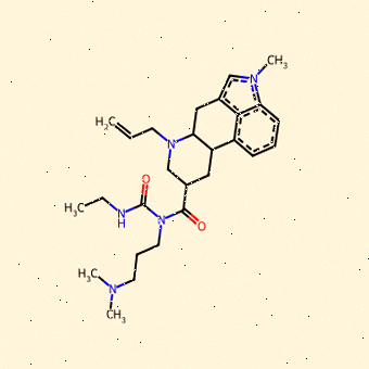 C=CCN1CC(C(=O)N(CCCN(C)C)C(=O)NCC)CC2c3cccc4c3c(cn4C)CC21